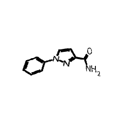 NC(=O)c1ccn(-c2ccccc2)n1